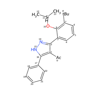 CC(=O)c1c(-c2cccc(C(C)(C)C)c2O[SiH](C)C)n[nH]c1-c1ccccc1